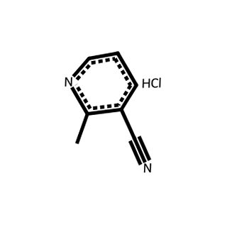 Cc1ncccc1C#N.Cl